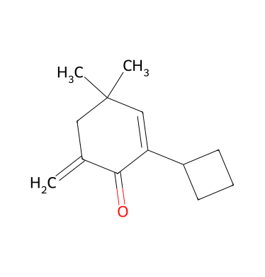 C=C1CC(C)(C)C=C(C2CCC2)C1=O